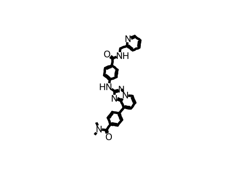 CN(C)C(=O)c1ccc(-c2cccn3nc(Nc4ccc(C(=O)NCc5ccccn5)cc4)nc23)cc1